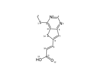 CSc1ncnc2cc(C=CC(=O)O)sc12